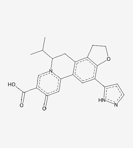 CC(C)C1Cc2c(cc(-c3ccn[nH]3)c3c2CCO3)-c2cc(=O)c(C(=O)O)cn21